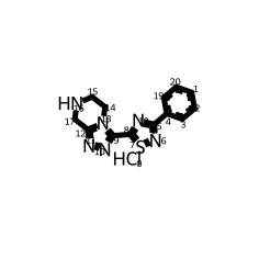 Cl.c1ccc(-c2nsc(-c3nnc4n3CCNC4)n2)cc1